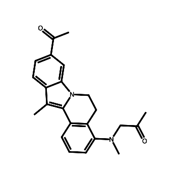 CC(=O)CN(C)c1cccc2c1CCn1c-2c(C)c2ccc(C(C)=O)cc21